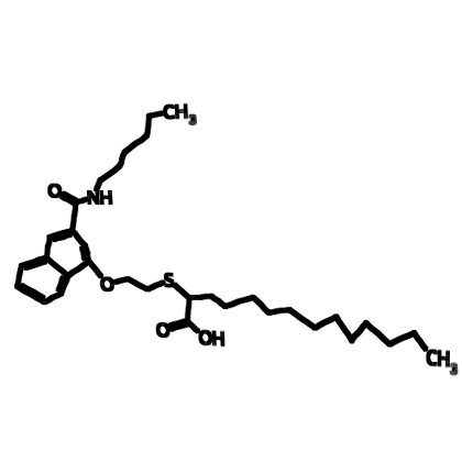 CCCCCCCCCCCCC(SCCOc1cc(C(=O)NCCCCCC)cc2ccccc12)C(=O)O